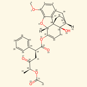 COc1ccc2c3c1O[C@H]1C(OC(=O)[C@@H](CC(=O)[C@H](C)OC(C)=O)c4ccccc4)=CC[C@@]4(O)[C@H](CCC[C@]314)C2